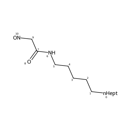 CCCCCCCCCCCCNC(=O)CN=O